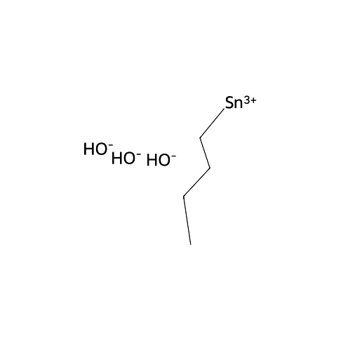 CCC[CH2][Sn+3].[OH-].[OH-].[OH-]